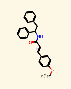 CCCCCCCCCCOc1ccc(/C=C/C(=O)NC(Cc2ccccc2)c2ccccc2)cc1